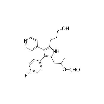 CC(Cc1[nH]c(CCCO)c(-c2ccncc2)c1-c1ccc(F)cc1)OC=O